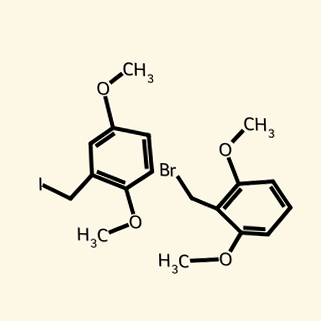 COc1ccc(OC)c(CI)c1.COc1cccc(OC)c1CBr